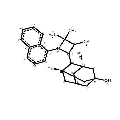 CC1(C)C(O)N(C2[C@@H]3CC4C[C@H]2CC(O)(C4)C3)N1c1cccc2ccccc12